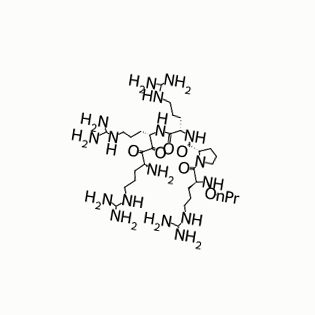 CCCON[C@@H](CCCNC(N)N)C(=O)N1CCC[C@H]1C(=O)N[C@@H](CCCNC(N)N)C(=O)N[C@@H](CCCNC(N)N)C(=O)C(=O)[C@@H](N)CCCNC(N)N